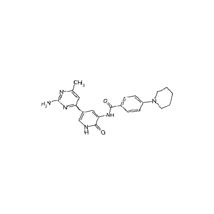 Cc1cc(-c2c[nH]c(=O)c(NC(=O)c3ccc(N4CCCCC4)cc3)c2)nc(N)n1